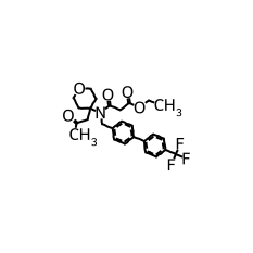 CCOC(=O)CC(=O)N(Cc1ccc(-c2ccc(C(F)(F)F)cc2)cc1)C1(CC(C)=O)CCOCC1